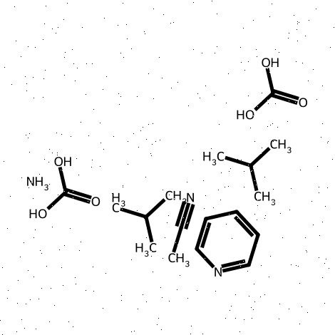 CC#N.CC(C)C.CC(C)C.N.O=C(O)O.O=C(O)O.c1ccncc1